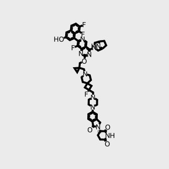 O=C1CC[C@H](N2Cc3cc(N4CCN(CC5(F)CC6(CCN(CC7(COc8nc(N9CC%10CCC(C9)N%10)c9cnc(-c%10cc(O)cc%11ccc(F)c(F)c%10%11)c(F)c9n8)CC7)CC6)C5)CC4)ccc3C2=O)C(=O)N1